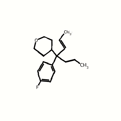 [CH2]C=CC(CCC)(c1ccc(F)cc1)C1CCOCC1